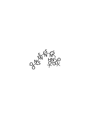 COC(=O)c1csc(-c2csc(-c3csc(-c4csc(C[C@H](NC(=O)OC(C)(C)C)C(=O)OC(C)(C)C)n4)n3)n2)n1